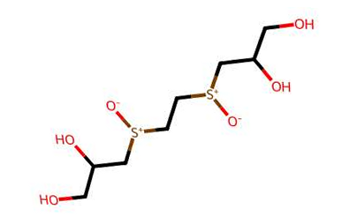 [O-][S+](CC[S+]([O-])CC(O)CO)CC(O)CO